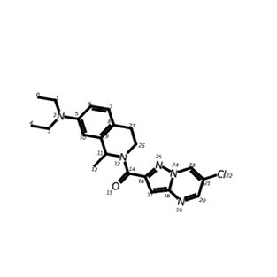 CCN(CC)c1ccc2c(c1)C(C)N(C(=O)c1cc3ncc(Cl)cn3n1)CC2